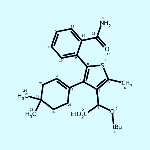 CCOC(=O)C(OC(C)(C)C)c1c(C)sc(-c2ccccc2C(N)=O)c1C1=CCC(C)(C)CC1